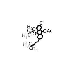 C=C(C)C(=O)Oc1c2c(c(OC(C)=O)c3cc(Cl)ccc13)CC=C(CCC=C(C)C)C2